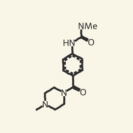 CNC(=O)Nc1ccc(C(=O)N2CCN(C)CC2)cc1